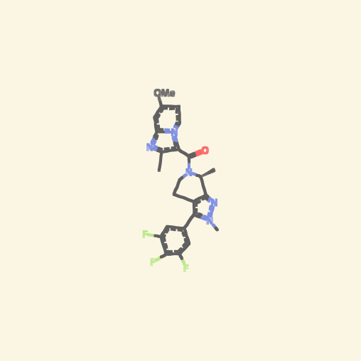 COc1ccn2c(C(=O)N3CCc4c(nn(C)c4-c4cc(F)c(F)c(F)c4)[C@@H]3C)c(C)nc2c1